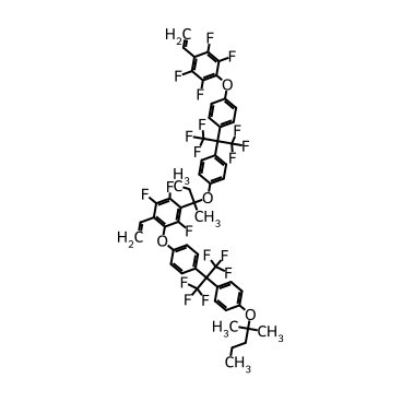 C=Cc1c(F)c(F)c(Oc2ccc(C(c3ccc(OC(C)(CC)c4c(F)c(F)c(C=C)c(Oc5ccc(C(c6ccc(OC(C)(C)CCC)cc6)(C(F)(F)F)C(F)(F)F)cc5)c4F)cc3)(C(F)(F)F)C(F)(F)F)cc2)c(F)c1F